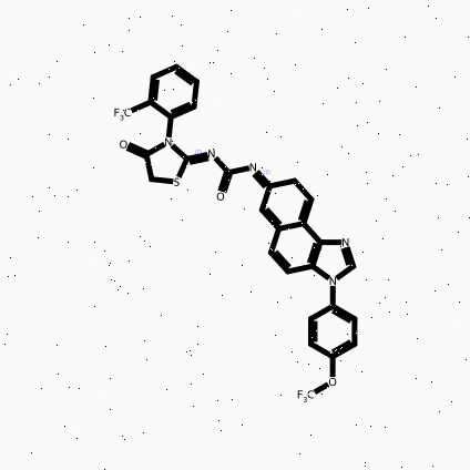 O=C(/N=C1\C=c2ccc3c(ncn3-c3ccc(OC(F)(F)F)cc3)c2=CC1)/N=C1\SCC(=O)N1c1ccccc1C(F)(F)F